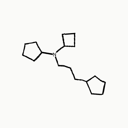 C1CC[C](CCCN(C2CCCC2)C2CCC2)C1